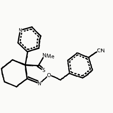 CNC(=S)C1(c2cccnc2)CCCC/C1=N/OCc1ccc(C#N)cc1